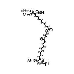 CCCCCCCC(OC)C(CCCCCCCCC(=O)OCCOC(=O)CCCCCCCCC(OO)C(CCCCCCC)OC)OO